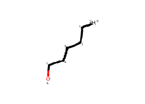 [2H]CCCCC[O]